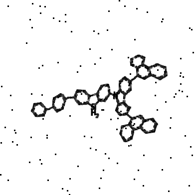 c1ccc(-c2ccc(-c3ccc4c(c3)[SiH2]c3cc(-n5c6ccc(-c7cc8ccccc8c8ccccc78)cc6c6cc(-c7cc8ccccc8c8ccccc78)ccc65)ccc3-4)cc2)cc1